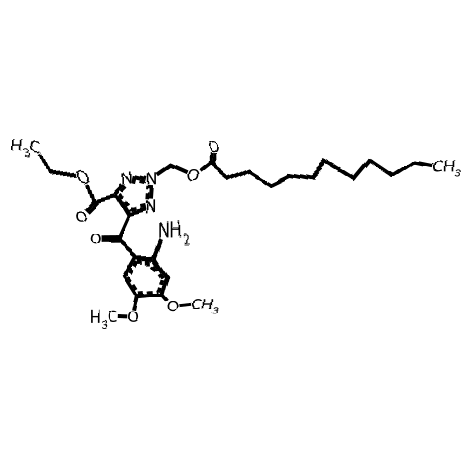 CCCCCCCCCCCC(=O)OCn1nc(C(=O)OCC)c(C(=O)c2cc(OC)c(OC)cc2N)n1